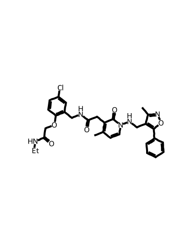 CCNC(=O)COc1ccc(Cl)cc1CNC(=O)Cc1c(C)ccn(NCc2c(C)noc2-c2ccccc2)c1=O